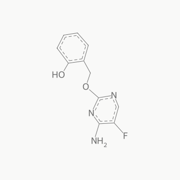 Nc1nc(OCc2ccccc2O)ncc1F